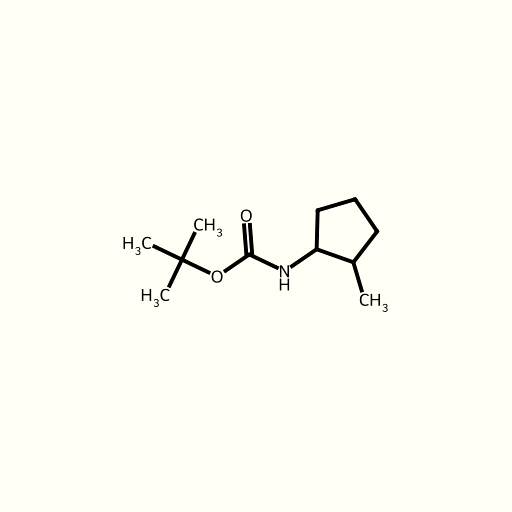 CC1CCCC1NC(=O)OC(C)(C)C